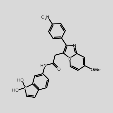 COc1ccn2c(CC(=O)Nc3ccc4c(c3)S(O)(O)C=C4)c(-c3ccc([N+](=O)[O-])cc3)nc2c1